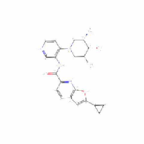 C[C@H]1CN(c2ccncc2NC(=O)c2ccc3cc(C4CC4)oc3n2)C[C@@H](N)[C@@H]1O